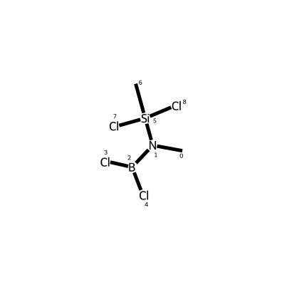 CN(B(Cl)Cl)[Si](C)(Cl)Cl